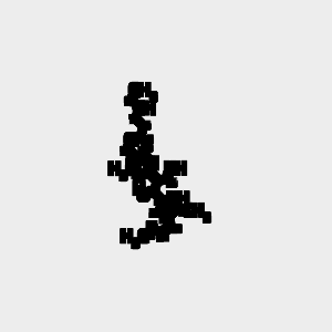 C/C=C\C(=C/CCCNCC)N/C(NC)=C(\C=N)C(=O)c1cc(/C=C\CC)c(C)[nH]1